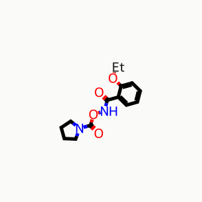 CCOc1ccccc1C(=O)NOC(=O)N1CCCC1